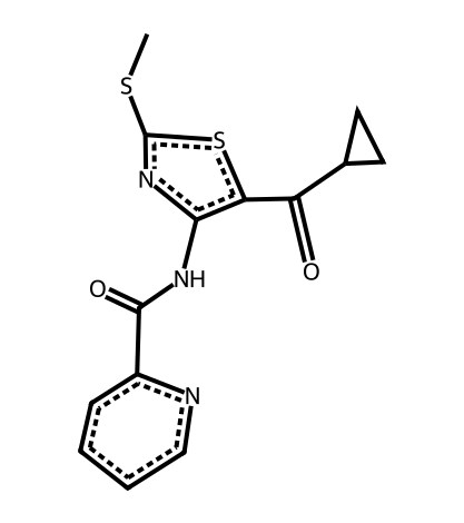 CSc1nc(NC(=O)c2ccccn2)c(C(=O)C2CC2)s1